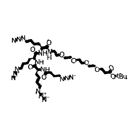 CC(C)(C)OC(=O)CCOCCOCCOCCOCCNC(=O)[C@H](CCCCN=[N+]=[N-])NC(=O)[C@H](CCCCN=[N+]=[N-])NC(=O)[C@H](CCCCN=[N+]=[N-])NC(=O)CCCN=[N+]=[N-]